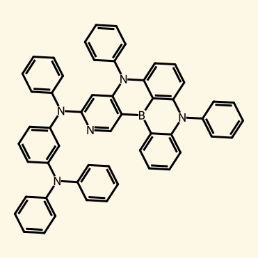 c1ccc(N(c2ccccc2)c2cccc(N(c3ccccc3)c3cc4c(cn3)B3c5ccccc5N(c5ccccc5)c5cccc(c53)N4c3ccccc3)c2)cc1